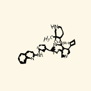 CC1(C)CNCC[C@H]1Nc1nc(-c2ccnc(Nc3ccc4ccccc4n3)c2)nc2cncc(C3=CC=C3)c12